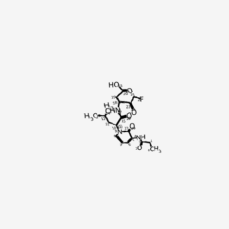 CCC(=O)Nc1cccn([C@@H](CC(C)C)C(=O)NC(CC(=O)O)C(=O)CF)c1=O